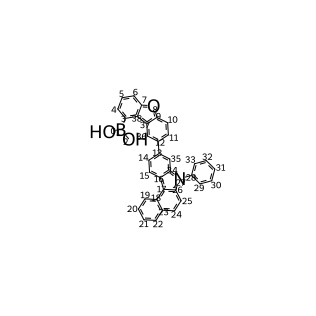 OB(O)c1cccc2oc3ccc(-c4ccc5c6c7ccccc7ccc6n(-c6ccccc6)c5c4)cc3c12